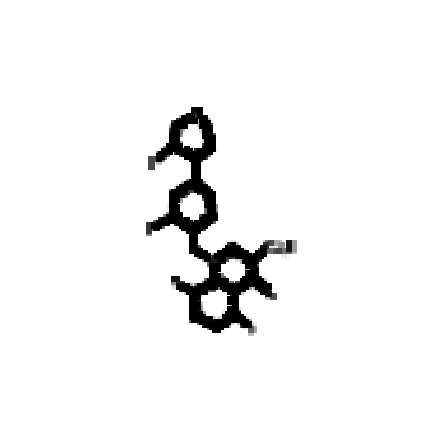 O=C(O)c1cn(Cc2ccc(-c3ccncc3F)cc2F)c2c(F)ccc(F)c2c1=O